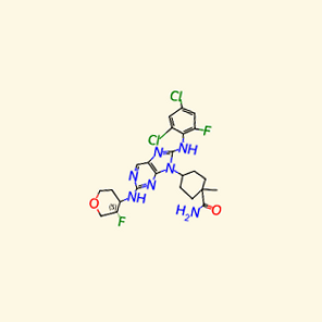 CC1(C(N)=O)CCC(n2c(Nc3c(F)cc(Cl)cc3Cl)nc3cnc(NC4CCOC[C@H]4F)nc32)CC1